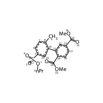 CCCOS(=O)(=O)c1ccc(C)c(-c2cc(C(=O)OC)ccc2C(=O)OC)c1